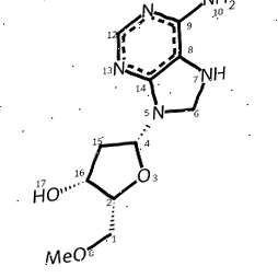 COC[C@H]1O[C@@H](N2CNc3c(N)ncnc32)C[C@H]1O